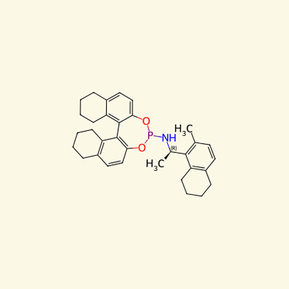 Cc1ccc2c(c1[C@@H](C)Np1oc3ccc4c(c3c3c5c(ccc3o1)CCCC5)CCCC4)CCCC2